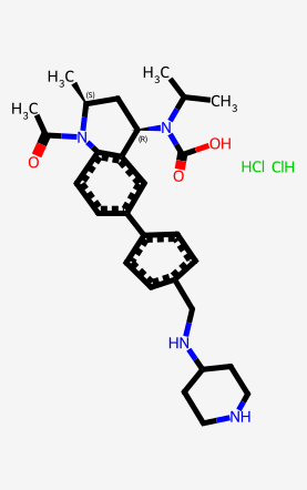 CC(=O)N1c2ccc(-c3ccc(CNC4CCNCC4)cc3)cc2[C@H](N(C(=O)O)C(C)C)C[C@@H]1C.Cl.Cl